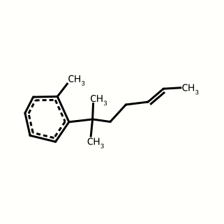 CC=CCCC(C)(C)c1ccccc1C